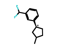 CC1CC[C@H](c2cccc(C(F)F)c2)C1